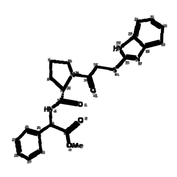 COC(=O)C(NC(=O)[C@@H]1CCCN1C(=O)CSc1nc2ccccc2[nH]1)c1ccccc1